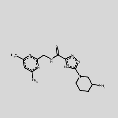 Cc1cc(C)nc(CNC(=O)c2nnc(N3CCCC(N)C3)[nH]2)n1